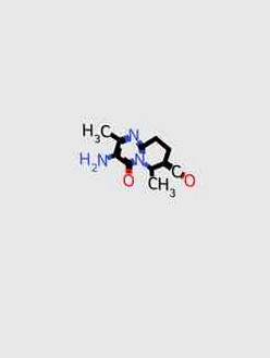 Cc1nc2n(c(=O)c1N)C(C)C(=C=O)CC2